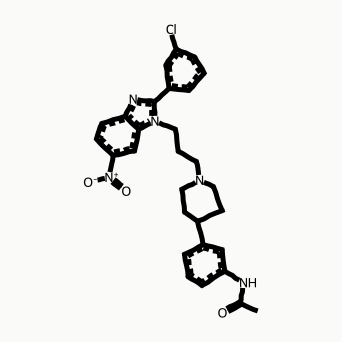 CC(=O)Nc1cccc(C2CCN(CCCn3c(-c4cccc(Cl)c4)nc4ccc([N+](=O)[O-])cc43)CC2)c1